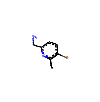 Cc1nc(CN)ccc1Br